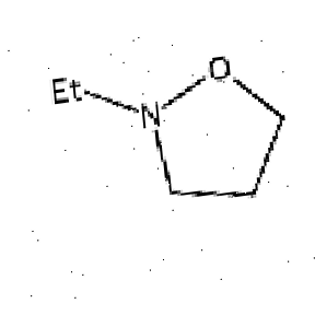 CCN1CCCO1